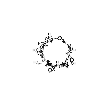 CCC[C@@H]1NC(=O)[C@H](Cc2nc3ccccc3s2)NC(=O)[C@H]([C@@H](C)O)NC(=O)[C@H](Cc2cnc[nH]2)NC(=O)[C@H](Cc2ccc(O)cc2)NC(=O)[C@H](C(C)(C)C)NC(=O)CCSCc2cccc(c2)CSC[C@@H](C(N)=O)NC(=O)[C@H]([C@@H](C)O)NC(=O)[C@H](CCC)NC(=O)[C@H](Cc2ccc(O)cc2)NC(=O)[C@H](CCC(=O)O)NC1=O